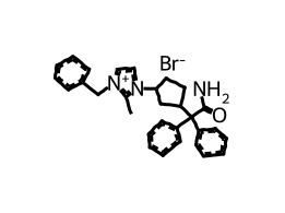 Cc1n(C2CCC(C(C(N)=O)(c3ccccc3)c3ccccc3)C2)cc[n+]1Cc1ccccc1.[Br-]